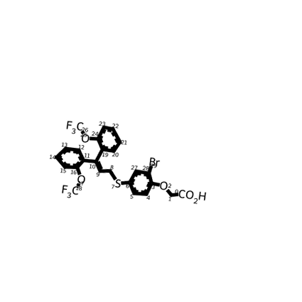 O=C(O)COc1ccc(SCC=C(c2ccccc2OC(F)(F)F)c2ccccc2OC(F)(F)F)cc1Br